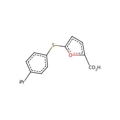 CC(C)c1ccc(Sc2ccc(C(=O)O)o2)cc1